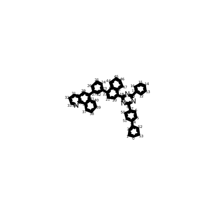 c1ccc(-c2ccc(-c3nc(-c4ccccc4)nc(-c4ccc(-c5cccc(-c6cc7cccnc7c7ccccc67)c5)c5ccccc45)n3)cc2)cc1